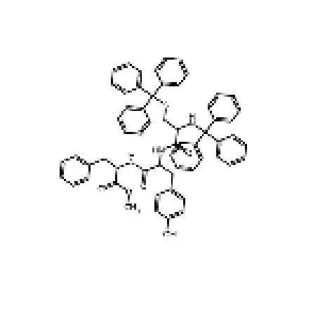 COC(=O)C(Cc1ccccc1)NC(=O)C(Cc1ccc(O)cc1)NC(=O)C(CSC(c1ccccc1)(c1ccccc1)c1ccccc1)NC(c1ccccc1)(c1ccccc1)c1ccccc1